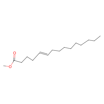 CCCCCCCCC/C=C/CCCC(=O)OC